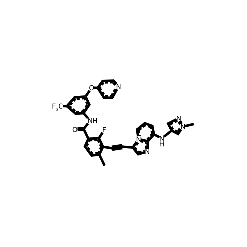 Cc1ccc(C(=O)Nc2cc(Oc3ccncc3)cc(C(F)(F)F)c2)c(F)c1C#Cc1cnc2c(Nc3cnn(C)c3)cccn12